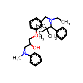 CCN(Cc1cccc(OCC(O)CN(C)c2ccccc2)c1)C(c1ccccc1)C(C)(C)C